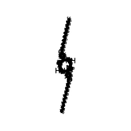 CCCCCCCCCCCCCCCCCCOc1ccc(-c2c3nc(cc4ccc([nH]4)c(-c4ccc(OCCCCCCCCCCCCCCCCCC)cc4)c4nc(cc5ccc2[nH]5)C=C4)C=C3)cc1